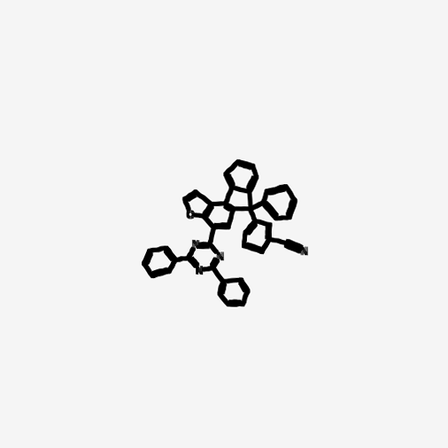 N#Cc1cccc(C2(c3ccccc3)c3ccccc3-c3c2cc(-c2nc(-c4ccccc4)nc(-c4ccccc4)n2)c2occc32)c1